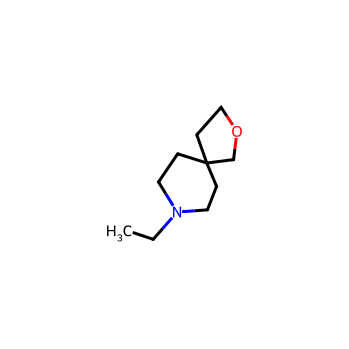 CCN1CCC2(CCOC2)CC1